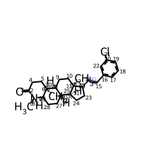 CN1C(=O)CC[C@]2(C)[C@H]3CC[C@]4(C)[C@@H](/C=C/c5cccc(Cl)c5)CC[C@H]4[C@@H]3CC[C@@H]12